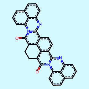 O=c1c2c3c(ccc4c3c(c(=O)n3c5cccc6cccc(nc43)c65)CC2)c2nc3cccc4cccc(c43)n12